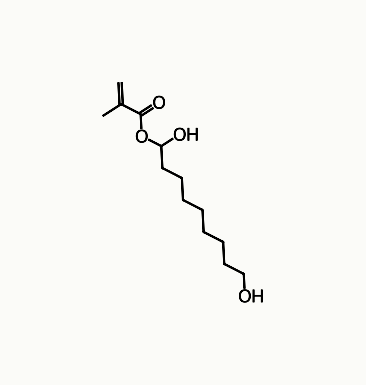 C=C(C)C(=O)OC(O)CCCCCCCCO